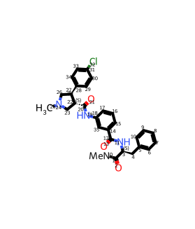 CNC(=O)[C@H](Cc1ccccc1)NC(=O)c1cccc(NC(=O)[C@@H]2CN(C)C[C@H]2c2ccc(Cl)cc2)c1